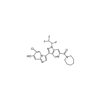 O=C(c1cc2c(cn1)c(-c1cnc3cc(O)c(Cl)cn13)nn2C(F)C(F)F)N1CCCCCC1